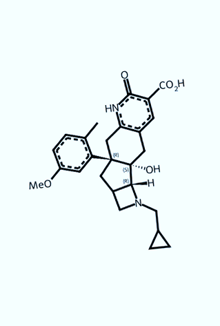 COc1ccc(C)c([C@@]23Cc4[nH]c(=O)c(C(=O)O)cc4C[C@@]2(O)[C@H]2C(CN2CC2CC2)C3)c1